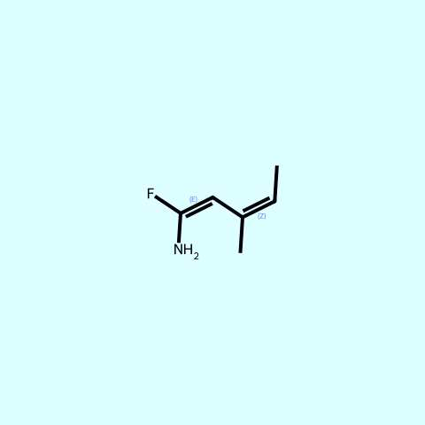 C/C=C(C)\C=C(/N)F